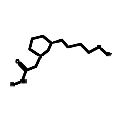 CC(C)NC(=O)CN1CCC[C@@H](CCCCOC(C)C)C1